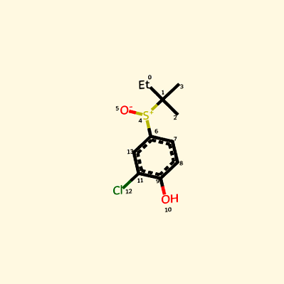 CCC(C)(C)[S+]([O-])c1ccc(O)c(Cl)c1